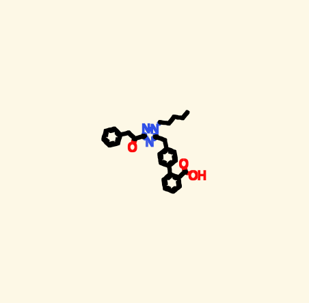 CCCCCn1nc(C(=O)Cc2ccccc2)nc1Cc1ccc(-c2ccccc2C(=O)O)cc1